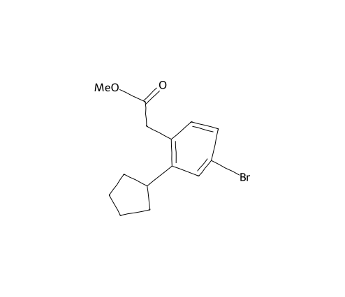 COC(=O)Cc1ccc(Br)cc1C1CCCC1